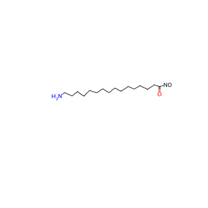 NCCCCCCCCCCCCCCCC(=O)N=O